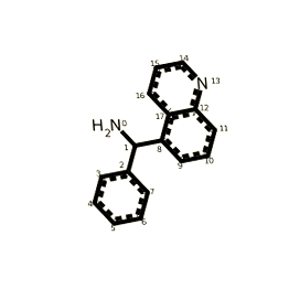 NC(c1ccccc1)c1cccc2ncccc12